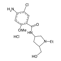 CCN1CC(NC(=O)c2cc(Cl)c(N)cc2OC)CC1CO.Cl